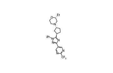 CC[C@@H]1CN([C@@H]2CC[C@@H](c3nc(-c4cnc(C(F)(F)F)nc4)nn3C(C)C)C2)CCO1